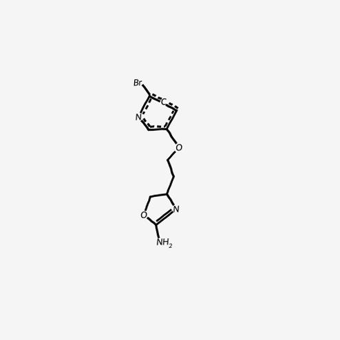 NC1=NC(CCOc2ccc(Br)nc2)CO1